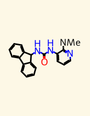 CNc1ncccc1NC(=O)NC1c2ccccc2-c2ccccc21